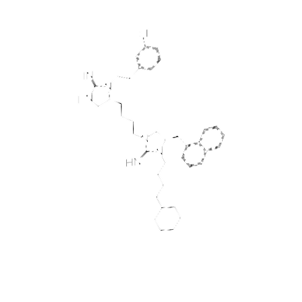 N=C1NC[C@H](CCCCN2C[C@@H](Cc3cccc4ccccc34)N(CCCCC3CCCCC3)C2=N)N1CCc1cccc(C(F)(F)F)c1